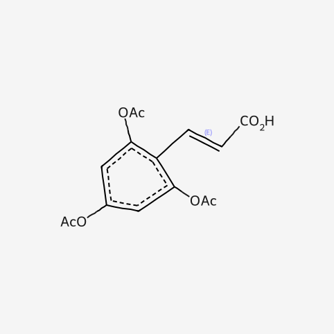 CC(=O)Oc1cc(OC(C)=O)c(/C=C/C(=O)O)c(OC(C)=O)c1